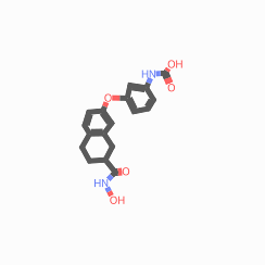 O=C(O)Nc1cccc(Oc2ccc3c(c2)CC(C(=O)NO)CC3)c1